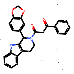 O=C(CC(=O)N1CCc2c([nH]c3ccccc23)C1c1ccc2c(c1)OCO2)c1ccccc1